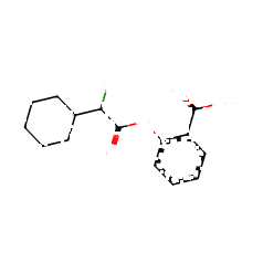 O=C(O)c1ccccc1OC(=O)C(Br)C1CCCCC1